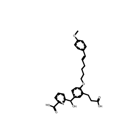 COc1ccc(/C=C/CCCCOc2ccc(C(O)c3cccc(C(=O)O)n3)cc2CCC(=O)O)cc1